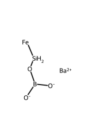 [Ba+2].[O-]B([O-])O[SiH2][Fe]